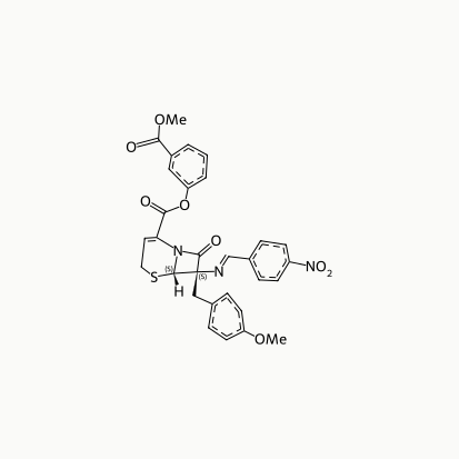 COC(=O)c1cccc(OC(=O)C2=CCS[C@@H]3N2C(=O)[C@]3(Cc2ccc(OC)cc2)N=Cc2ccc([N+](=O)[O-])cc2)c1